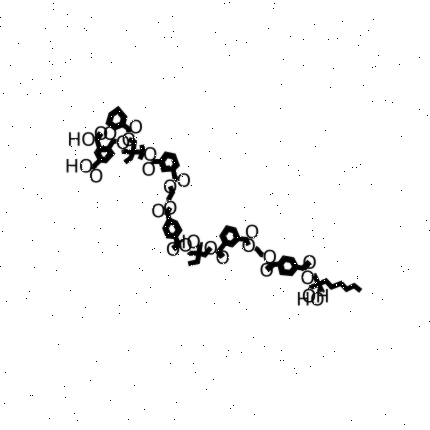 CCCCCCC(CO)(CO)COC(=O)c1ccc(C(=O)OCCOC(=O)c2cccc(C(=O)OCC(CC)(CO)COC(=O)c3ccc(C(=O)OCCOC(=O)c4cccc(C(=O)OC(C)(C)C(CC)(COC(=O)c5ccccc5)COC(=O)c5ccc(C(=O)O)cc5C(=O)O)c4)cc3)c2)cc1